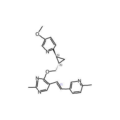 COc1ccc([C@H]2C[C@@H]2COc2nc(C)ncc2/C=C/c2ccc(C)nc2)nc1